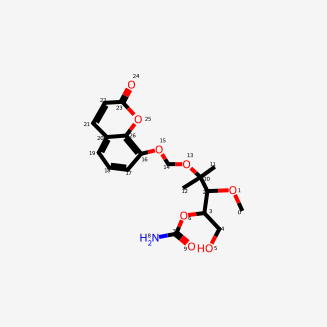 COC(C(CO)OC(N)=O)C(C)(C)OCOc1cccc2ccc(=O)oc12